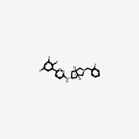 Fc1cc(F)c(F)c(-c2ccc(N[C@@H]3C[C@@H]4CN(Cc5ccccc5F)C[C@@H]4C3)nn2)c1